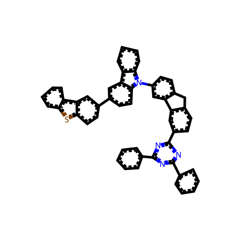 c1ccc(-c2nc(-c3ccccc3)nc(-c3ccc4c(c3)-c3cc(-n5c6ccccc6c6cc(-c7ccc8sc9ccccc9c8c7)ccc65)ccc3C4)n2)cc1